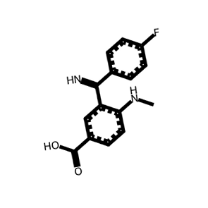 CNc1ccc(C(=O)O)cc1C(=N)c1ccc(F)cc1